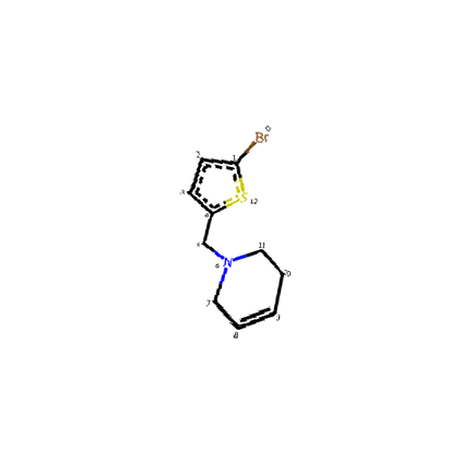 Brc1ccc(CN2CC=CCC2)s1